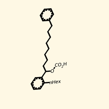 CCCCCCc1ccccc1C(CCCCCCCCc1ccccc1)OC(=O)O